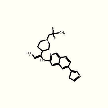 C/C=C(/Nc1cc2cc(C3=CN=CC3)ccc2cn1)C1CCN(CC(C)(F)F)CC1